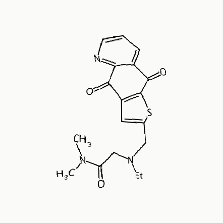 CCN(CC(=O)N(C)C)Cc1cc2c(s1)C(=O)c1cccnc1C2=O